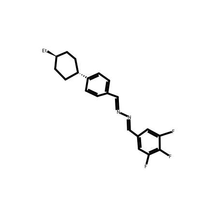 CC[C@H]1CC[C@H](c2ccc(C=NN=Cc3cc(F)c(F)c(F)c3)cc2)CC1